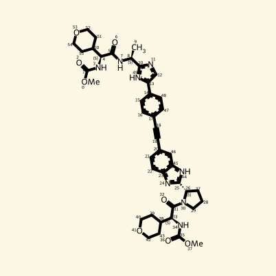 COC(=O)N[C@H](C(=O)N[C@@H](C)c1ncc(-c2ccc(C#Cc3ccc4nc([C@@H]5CCCN5C(=O)[C@@H](NC(=O)OC)C5CCOCC5)[nH]c4c3)cc2)[nH]1)C1CCOCC1